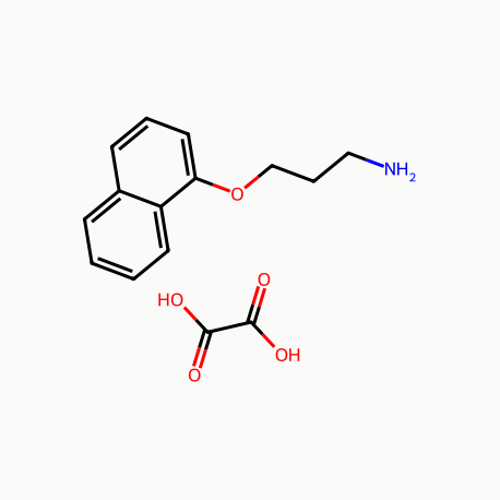 NCCCOc1cccc2ccccc12.O=C(O)C(=O)O